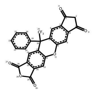 O=C1CC(=O)c2cc3c(cc21)Oc1cc2c(cc1C3(c1ccccc1)C(F)(F)F)C(=O)OC2=O